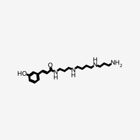 NCCCNCCCCNCCCNC(=O)C=Cc1cccc(O)c1